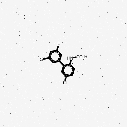 O=C(O)Nc1ccc(Cl)cc1-c1cc(F)cc(Cl)c1